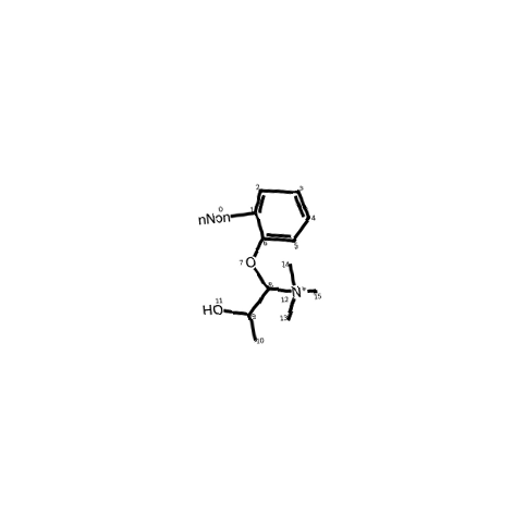 CCCCCCCCCc1ccccc1OC(C(C)O)[N+](C)(C)C